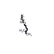 C/C=C(C)\C=C/CC=COPON=[N+]=[N-]